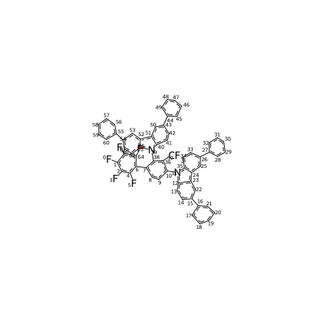 Fc1c(F)c(F)c(-c2ccc(-n3c4ccc(-c5ccccc5)cc4c4cc(-c5ccccc5)ccc43)c(C(F)(F)F)c2-n2c3ccc(-c4ccccc4)cc3c3cc(-c4ccccc4)ccc32)c(F)c1F